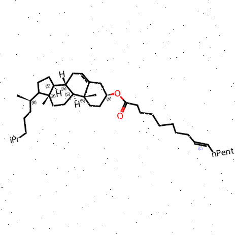 CCCCC/C=C/CCCCCCCC(=O)O[C@H]1CC[C@@]2(C)C(=CC[C@@H]3[C@@H]2CC[C@]2(C)C([C@H](C)CCCC(C)C)CC[C@@H]32)C1